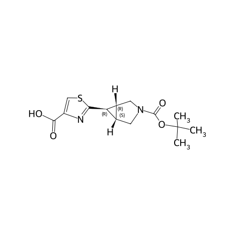 CC(C)(C)OC(=O)N1C[C@@H]2[C@H](C1)[C@H]2c1nc(C(=O)O)cs1